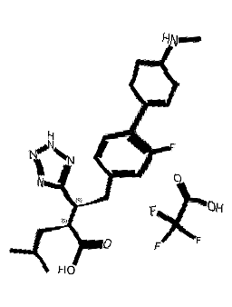 CNC1CC=C(c2ccc(C[C@H](c3nn[nH]n3)[C@H](CC(C)C)C(=O)O)cc2F)CC1.O=C(O)C(F)(F)F